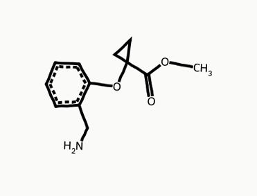 COC(=O)C1(Oc2ccccc2CN)CC1